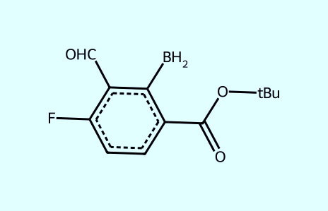 Bc1c(C(=O)OC(C)(C)C)ccc(F)c1C=O